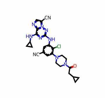 N#Cc1cc(Nc2nc(NC3CC3)c3ncc(C#N)n3n2)c(Cl)c(N2CCN(C(=O)CC3CC3)CC2)c1